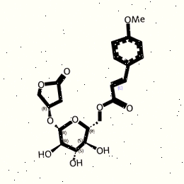 COc1ccc(/C=C/C(=O)OC[C@H]2O[C@@H](O[C@H]3COC(=O)C3)[C@H](O)[C@@H](O)[C@@H]2O)cc1